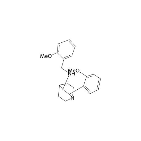 COc1ccccc1CNC1C2CCN(CC2)C1c1ccccc1OC